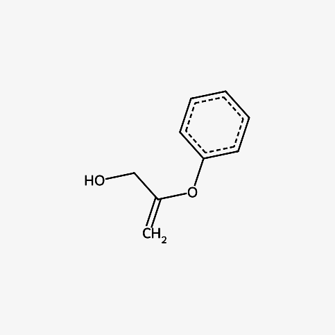 C=C(CO)Oc1ccccc1